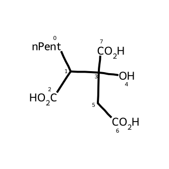 CCCCCC(C(=O)O)C(O)(CC(=O)O)C(=O)O